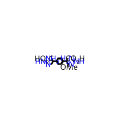 COc1cc(C(CN(C)C(=N)N)C(=O)O)ccc1C(CN(C)C(=N)N)C(=O)O